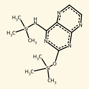 C[Si](C)(C)Nc1nc(O[Si](C)(C)C)nc2nccnc12